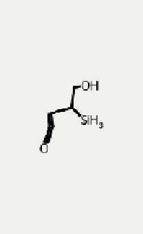 O=C=CC([SiH3])CO